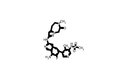 Cc1c(NS(C)(=O)=O)cncc1-c1cc2cc(Nc3cc4n(n3)CC(=O)N(C)CC4)ncc2c(N)c1F